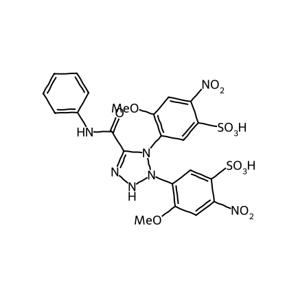 COc1cc([N+](=O)[O-])c(S(=O)(=O)O)cc1N1NN=C(C(=O)Nc2ccccc2)N1c1cc(S(=O)(=O)O)c([N+](=O)[O-])cc1OC